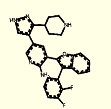 Nc1ncc(-c2c[nH]nc2C2CCNCC2)cc1-c1oc2ccccc2c1-c1cccc(F)c1F